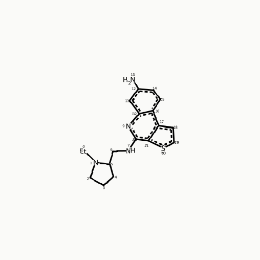 CCN1CCCC1CNc1nc2cc(N)ccc2c2ccsc12